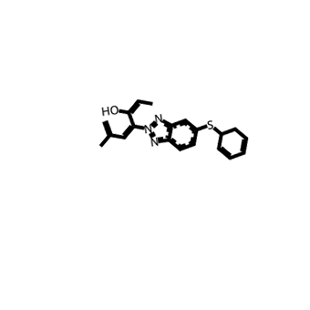 C=C(C)/C=C(\C(O)=C/C)n1nc2ccc(SC3C=CC=CC3)cc2n1